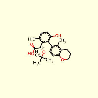 Cc1ccc(O)c(-c2ccc3c(c2C)CCCO3)c1[C@H](OC(C)(C)C)C(=O)O